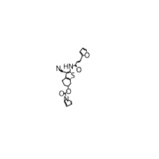 N#Cc1c(NC(=O)C=Cc2ccco2)sc2c1CCC(OC(=O)n1cccc1)C2